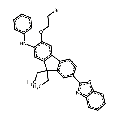 CCC1(CC)c2cc(-c3nc4ccccc4s3)ccc2-c2cc(OCCBr)c(Nc3ccccc3)cc21